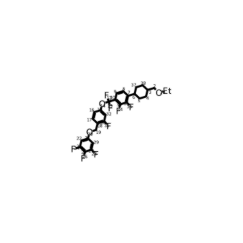 CCOCC1CCC(c2ccc(C(F)(F)Oc3ccc(COc4cc(F)c(F)c(F)c4)c(F)c3)c(F)c2F)CC1